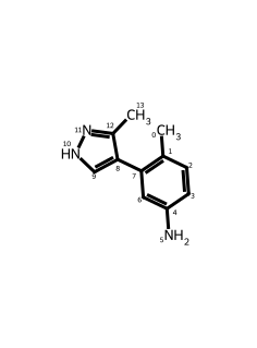 Cc1ccc(N)cc1-c1c[nH]nc1C